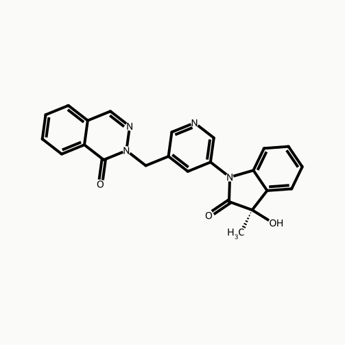 C[C@]1(O)C(=O)N(c2cncc(Cn3ncc4ccccc4c3=O)c2)c2ccccc21